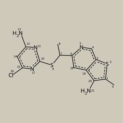 Cc1sc2cnc(C(C)Sc3nc(N)cc(Cl)n3)cc2c1N